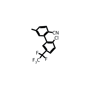 Cc1[c]cc(C#N)c(-c2cc(C(F)(F)C(F)(F)F)ccc2Cl)c1